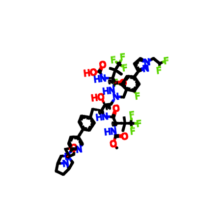 COC(=O)N[C@H](C(=O)N[C@@H](Cc1ccc(-c2ccc(N3CC4CCC(C3)N4C3COC3)nc2)cc1)[C@@H](O)CN(Cc1c(F)cc(-c2ccn(CC(F)F)n2)cc1F)NC(=O)[C@@H](NC(=O)O)C(C)(C)C(F)(F)F)C(C)(C)C(F)(F)F